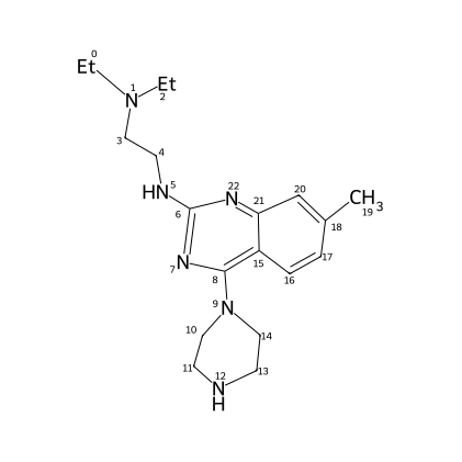 CCN(CC)CCNc1nc(N2CCNCC2)c2ccc(C)cc2n1